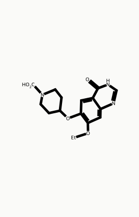 CCOc1cc2nc[nH]c(=O)c2cc1OC1CCN(C(=O)O)CC1